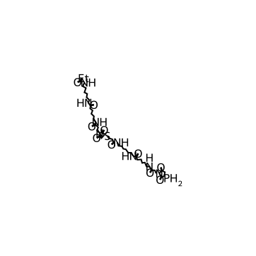 CCC(=O)NCCCCCCNC(=O)CCCCCNC(=O)CCN1C(=O)CC(SCCC(=O)NCCCCCCNC(=O)CCCCCNC(=O)CCN2C(=O)CC(P)C2=O)C1=O